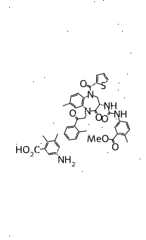 COC(=O)c1cc(NC(=O)NC2CN(C(=O)c3cccs3)c3ccc(C)cc3N(CC(=O)c3ccccc3C)C2=O)ccc1C.Cc1cc(N)cc(C(=O)O)c1C